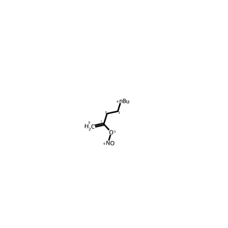 C=C(CCCCCC)ON=O